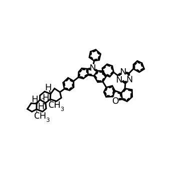 C[C@]12CCC[C@@H]1[C@H]1CC[C@@H]3CC(c4ccc(-c5ccc6c(c5)c5cc(-c7ccc8oc9cccc(-c%10nc(-c%11ccccc%11)nc(-c%11ccccc%11)n%10)c9c8c7)ccc5n6-c5ccccc5)cc4)CC[C@@]3(C)[C@@H]1CC2